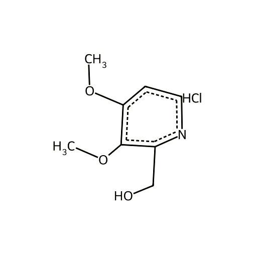 COc1ccnc(CO)c1OC.Cl